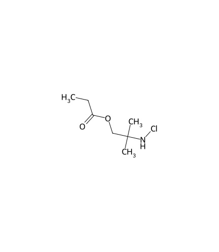 CCC(=O)OCC(C)(C)NCl